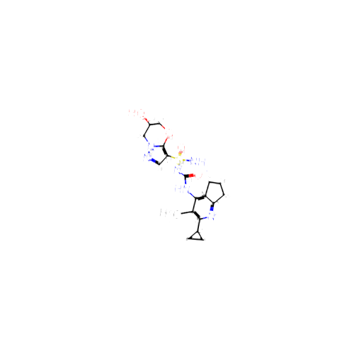 Cc1c(C2CC2)nc2c(c1NC(=O)N=S(N)(=O)c1cnn3c1OCC(O)C3)CCC2